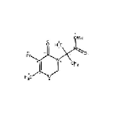 COC(=O)C(C)(C)N1COC(C)=C(C(C)C)C1=O